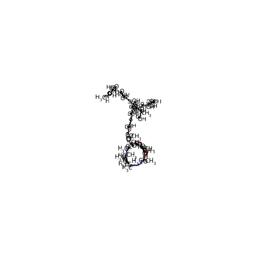 CCNc1ccc(C(=O)N[C@@H](CCC(=O)NNC(=O)OCCSSC[C@H](NC(=O)[C@H](CNC(=O)CCSSCCNC(=O)OCCO[C@H]2CC[C@@H](C[C@@H](C)[C@@H]3CC(=O)[C@H](C)/C=C(\C)[C@@H](O)[C@H](OC)C(=O)[C@H](C)C[C@H](C)/C=C/C=C/C=C(\C)[C@@H](OC)C[C@@H]4CC[C@@H](C)[C@@](O)(O4)C(=O)C(=O)N4CCCC[C@H]4C(=O)O3)C[C@H]2OC)NC(=O)[C@H](CCC(=O)NC[C@H](O)[C@@H](O)[C@H](O)[C@H](O)CO)NC(=O)[C@@H](C)CCC(=O)O)C(=O)O)C(=O)O)cc1